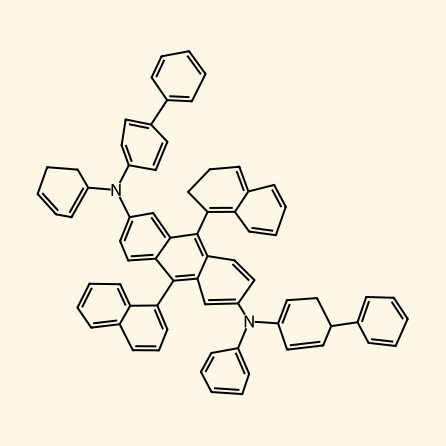 C1=CCCC(N(c2ccc(-c3ccccc3)cc2)c2ccc3c(-c4cccc5ccccc45)c4cc(N(C5=CCC(c6ccccc6)C=C5)c5ccccc5)ccc4c(C4=c5ccccc5=CCC4)c3c2)=C1